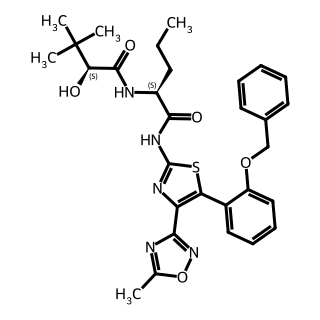 CCC[C@H](NC(=O)[C@@H](O)C(C)(C)C)C(=O)Nc1nc(-c2noc(C)n2)c(-c2ccccc2OCc2ccccc2)s1